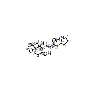 CO[C@@]12CC[C@H](O)[C@@H](/C=C/[C@@H](O)CC3CCCC3)[C@@H]1CC2=O